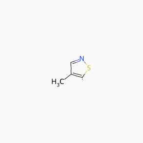 Cc1[c]snc1